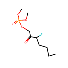 CCCCC(F)C(=O)COP(=O)(OC)OC